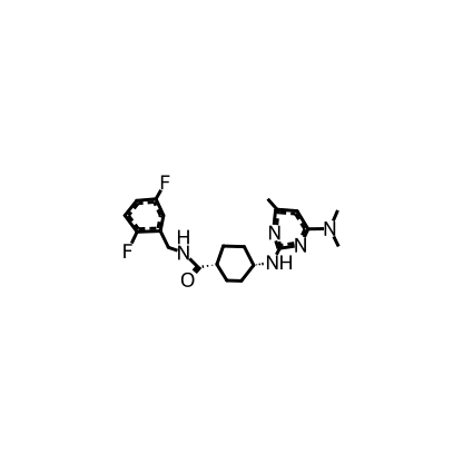 Cc1cc(N(C)C)nc(N[C@H]2CC[C@@H](C(=O)NCc3cc(F)ccc3F)CC2)n1